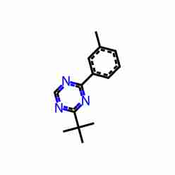 Cc1cccc(-c2ncnc(C(C)(C)C)n2)c1